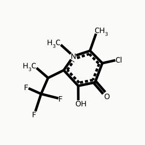 Cc1c(Cl)c(=O)c(O)c(C(C)C(F)(F)F)n1C